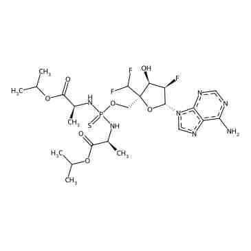 CC(C)OC(=O)[C@H](C)NP(=S)(N[C@@H](C)C(=O)OC(C)C)OC[C@@]1(C(F)F)O[C@@H](n2cnc3c(N)ncnc32)[C@H](F)[C@@H]1O